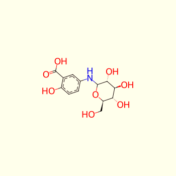 O=C(O)c1cc(NC2O[C@H](CO)[C@@H](O)[C@H](O)[C@H]2O)ccc1O